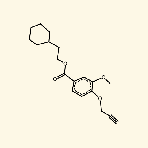 C#CCOc1ccc(C(=O)OCCC2CCCCC2)cc1OC